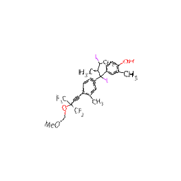 COCOC(C#Cc1ccc(C(I)(c2ccc(O)c(C)c2)C(C)C(C)I)cc1C)(C(F)(F)F)C(F)(F)F